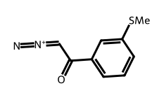 CSc1cccc(C(=O)C=[N+]=[N-])c1